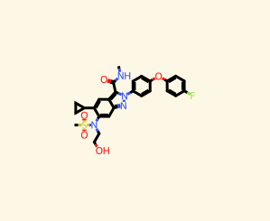 CNC(=O)c1c2cc(C3CC3)c(N(CCO)S(C)(=O)=O)cc2nn1-c1ccc(Oc2ccc(F)cc2)cc1